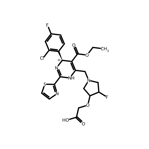 CCOC(=O)C1=C(CN2CC(F)C(OCC(=O)O)C2)NC(c2nccs2)=N[C@H]1c1ccc(F)cc1Cl